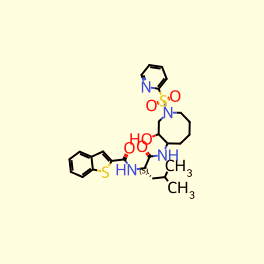 CC(C)C[C@H](NC(=O)c1cc2ccccc2s1)C(=O)NC1CCCCN(S(=O)(=O)c2ccccn2)CC1O